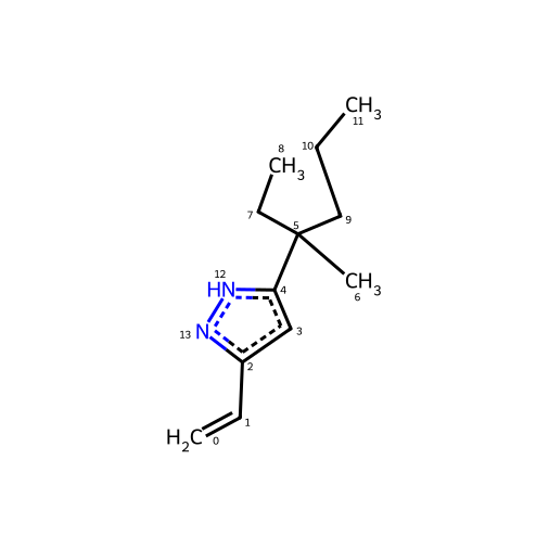 C=Cc1cc(C(C)(CC)CCC)[nH]n1